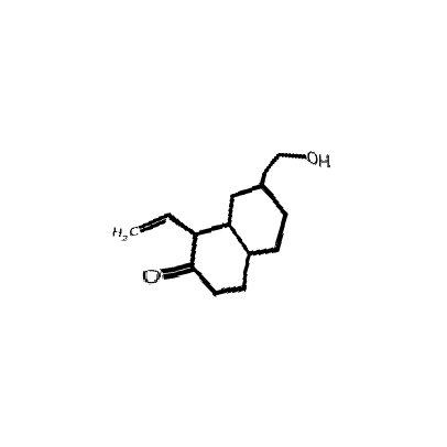 C=CC1C(=O)CCC2CCC(CO)CC21